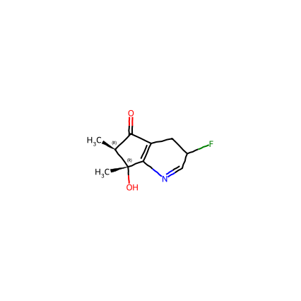 C[C@H]1C(=O)C2=C(N=CC(F)C2)[C@]1(C)O